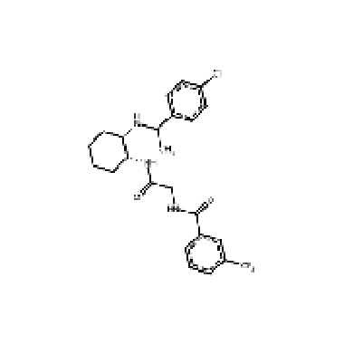 CC(N[C@H]1CCCC[C@H]1NC(=O)CNC(=O)c1cccc(C(F)(F)F)c1)c1ccc(Cl)cc1